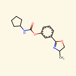 CC1COC(c2cccc(OC(=O)NC3CCCC3)c2)=N1